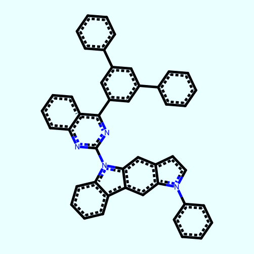 c1ccc(-c2cc(-c3ccccc3)cc(-c3nc(-n4c5ccccc5c5cc6c(ccn6-c6ccccc6)cc54)nc4ccccc34)c2)cc1